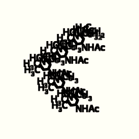 C=C.C=C.CC(=O)NC1CC(C)(C)N(O)C(C)(C)C1.CC(=O)NC1CC(C)(C)N(O)C(C)(C)C1.CC(=O)NC1CC(C)(C)N(O)C(C)(C)C1.CC(=O)NC1CC(C)(C)N(O)C(C)(C)C1.CC(=O)NC1CC(C)(C)N(O)C(C)(C)C1